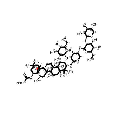 CCCCCC(=O)O[C@H]1CC(C)(C)C[C@@H]2[C@@]13[C@H](O)C[C@]1(C)[C@@]2(CC[C@@H]2[C@@]4(C)CC[C@H](O[C@@H]5OC[C@H](O[C@@H]6O[C@H](CO)[C@@H](O)[C@H](O)[C@H]6O[C@@H]6OC[C@@H](O)[C@H](O)[C@H]6O)[C@H](O)[C@H]5O[C@@H]5O[C@H](CO)[C@@H](O)[C@H](O)[C@H]5O)C(C)(C)[C@@H]4CC[C@]21C)O[C@H]3O